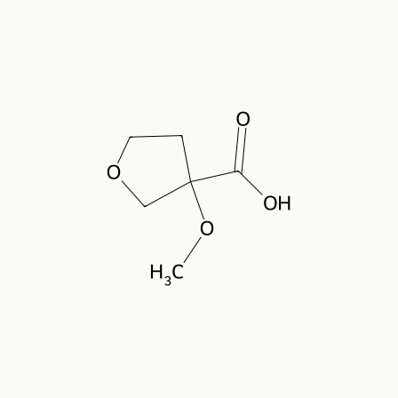 COC1(C(=O)O)CCOC1